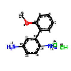 CCOc1ccccc1-c1cc(N)ccc1N.Cl.Cl